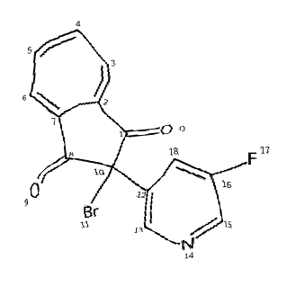 O=C1c2ccccc2C(=O)C1(Br)c1cncc(F)c1